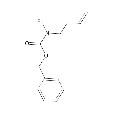 C=CCCN(CC)C(=O)OCc1ccccc1